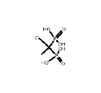 CC(Cl)(P(=O)(O)O)P(=O)(O)O